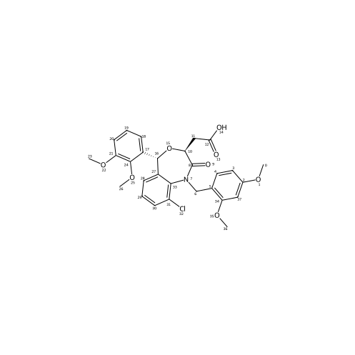 COc1ccc(CN2C(=O)[C@H](CC(=O)O)O[C@@H](c3cccc(OC)c3OC)c3cccc(Cl)c32)c(OC)c1